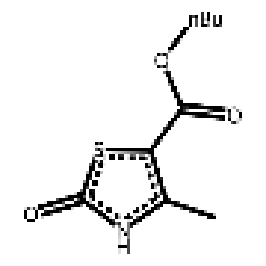 CCCCOC(=O)c1sc(=O)[nH]c1C